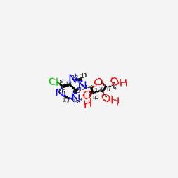 C[C@@]1(O)[C@H](O)[C@@H](CO)O[C@H]1n1cnc2c(Cl)ncnc21